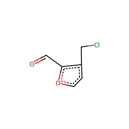 O=Cc1occc1CCl